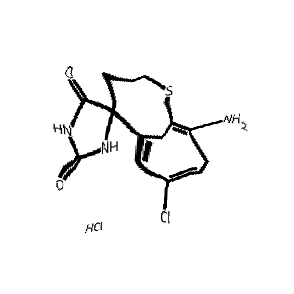 Cl.Nc1cc(Cl)cc2c1SCCC21NC(=O)NC1=O